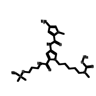 CN(CCCCCn1cc(NC(=O)c2cc(N)cn2C)cc1C(=O)NCCCO[Si](C)(C)C(C)(C)C)C(=O)OC(C)(C)C